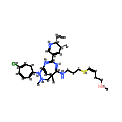 CBCC/C=C\SCCCNC1=NC(C2=C[C@@H](C)[C@@H](CCCCCCCCC)N=C2)=NC2=CC1(C)CN(C)N2C1=CC=CC(Cl)=CC1